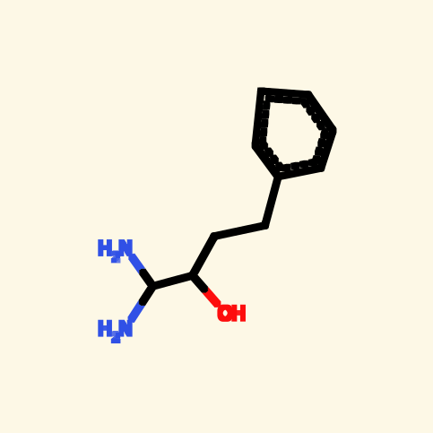 NC(N)C(O)CCc1ccccc1